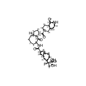 O=C(N[C@H]1CCCC[C@H]2CC[C@@H](C(=O)N3CCc4c(cc[nH]c4=O)C3)N2C1=O)c1cc2cc(C(F)(F)P(=O)(O)O)ccc2s1